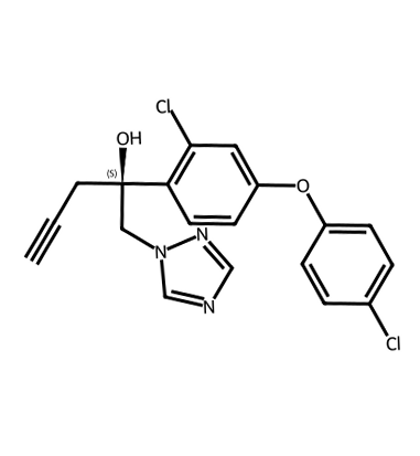 C#CC[C@@](O)(Cn1cncn1)c1ccc(Oc2ccc(Cl)cc2)cc1Cl